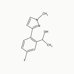 CC(O)c1cc(F)ccc1-c1ccn(C)n1